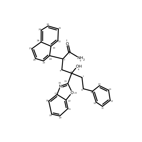 NC(=O)C(CC(O)(CCc1ccccc1)c1nc2ccccc2o1)c1cccc2ccccc12